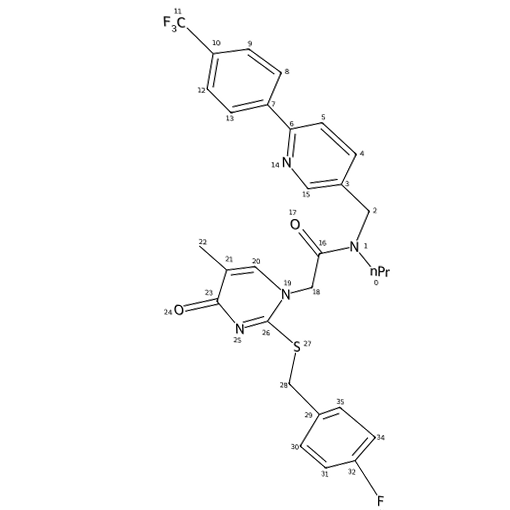 CCCN(Cc1ccc(-c2ccc(C(F)(F)F)cc2)nc1)C(=O)Cn1cc(C)c(=O)nc1SCc1ccc(F)cc1